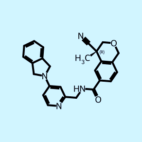 C[C@@]1(C#N)COCc2ccc(C(=O)NCc3cc(N4Cc5ccccc5C4)ccn3)cc21